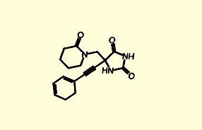 O=C1NC(=O)C(C#CC2=CC=CCC2)(CN2CCCCC2=O)N1